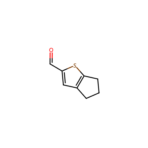 O=Cc1cc2c(s1)CCC2